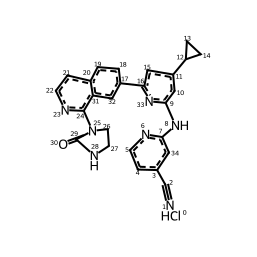 Cl.N#Cc1ccnc(Nc2cc(C3CC3)cc(-c3ccc4ccnc(N5CCNC5=O)c4c3)n2)c1